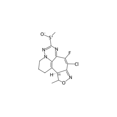 CC1ON=C2C(Cl)=C(F)C3=NC([S+](C)[O-])=NN4CCCC(=C34)[C@@H]21